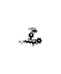 NCCCCC(NC(=O)c1ccncc1)C(=O)c1nc2ccccc2s1.O=C(O)C(F)(F)F